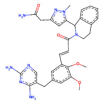 COc1cc(Cc2cnc(N)nc2N)cc(C=CC(=O)N2CCc3ccccc3C2c2cc(CC(N)=O)nn2C)c1OC